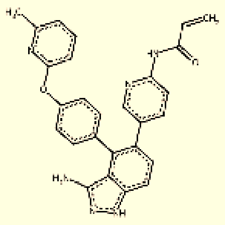 C=CC(=O)Nc1ccc(-c2ccc3[nH]nc(N)c3c2-c2ccc(Oc3cccc(C)n3)cc2)cn1